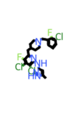 Cc1cc(Nc2nc(CC3CCN(Cc4cccc(Cl)c4F)CC3)c(F)c(Cl)c2Cl)n[nH]1